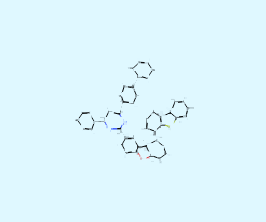 c1ccc(-c2ccc(-c3cc(-c4ccccc4)nc(-c4ccc5oc6cccc(-c7cccc8c7sc7ccccc78)c6c5c4)n3)cc2)cc1